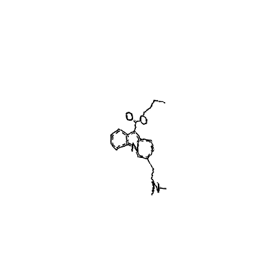 CCCCOC(=O)c1c2ccccc2n2cc(CCN(C)C)ccc12